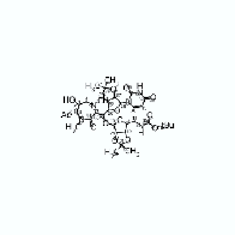 CC(=O)[C@@H]1[C@@H](O)CN(C)[C@@H]([C@H](OC2OC(CNC(=O)OC(C)(C)C)C3OC(C)(C)OC23)C2OC(n3ccc(=O)[nH]c3=O)C3OC(C)(C)OC32)C(=O)N1C